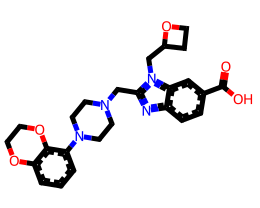 O=C(O)c1ccc2nc(CN3CCN(c4cccc5c4OCCO5)CC3)n(CC3CCO3)c2c1